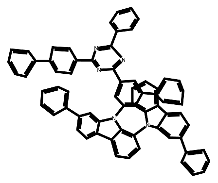 c1ccc(-c2ccc(-c3nc(-c4ccccc4)nc(-c4cc(-c5ccccc5)cc(-n5c6cc(-c7ccccc7)ccc6c6cccc(-n7c8ccccc8c8ccc(-c9ccccc9)cc87)c65)c4)n3)cc2)cc1